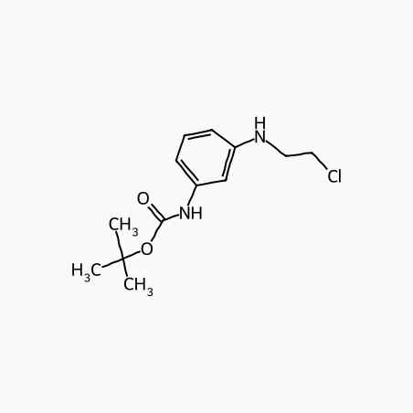 CC(C)(C)OC(=O)Nc1cccc(NCCCl)c1